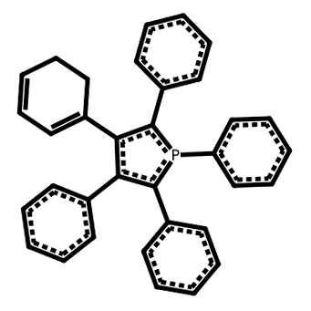 C1=CCCC(c2c(-c3ccccc3)c(-c3ccccc3)p(-c3ccccc3)c2-c2ccccc2)=C1